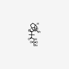 CC(C)N1C[C@H]2CC[C@@H](C1)[C@@H]2NC(=O)C(C)(C)C(=O)NS(=O)(=O)C(C)(C)C